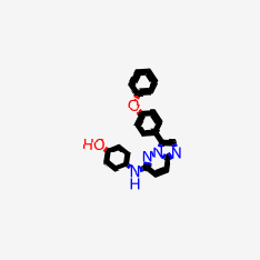 OC1CCC(Nc2ccc3ncc(-c4ccc(Oc5ccccc5)cc4)n3n2)CC1